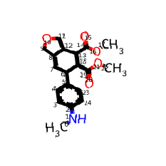 CNc1ccc(C2C=C3COCC3C(C(=O)OC)C2C(=O)OC)cc1